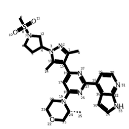 Cc1nn(C2CCN(S(C)(=O)=O)C2)c(C)c1-c1cc(N2CCOC[C@H]2C)nc(-c2ccnc3[nH]ccc23)n1